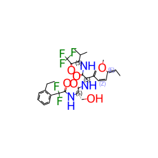 C=C(/C=C\C(=C/C)OC)[C@H](NC(=O)[C@H](CO)NC(=O)C(F)(F)c1ccccc1CC)C(=O)N[C@H](C(=O)C(F)(F)F)C(C)C